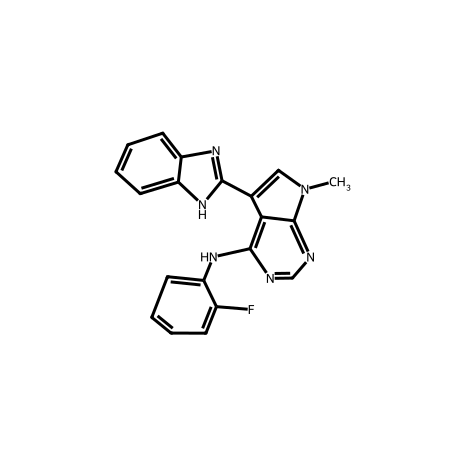 Cn1cc(-c2nc3ccccc3[nH]2)c2c(Nc3ccccc3F)ncnc21